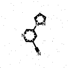 N#Cc1cncc(-n2c[c]cn2)c1